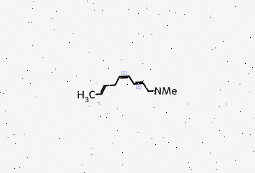 CC=CC/C=C\C=C\CNC